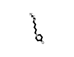 [N-]=[N+]=NCCCCCN1CCC(=O)CC1